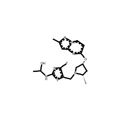 Cc1cc2nc(O[C@@H]3C[C@H](C)N(Cc4sc(NC(C)O)nc4F)C3)ccn2n1